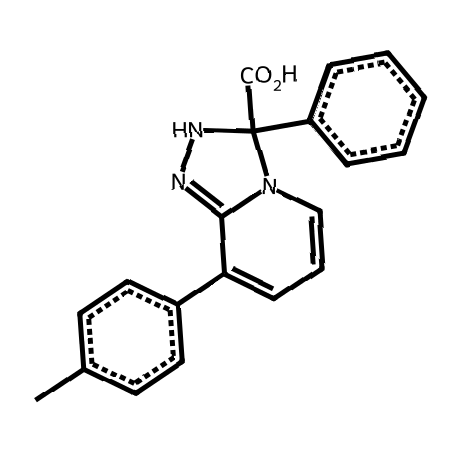 Cc1ccc(C2=CC=CN3C2=NNC3(C(=O)O)c2ccccc2)cc1